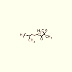 CC(C)CCOC(=O)C(C)(C)[S]